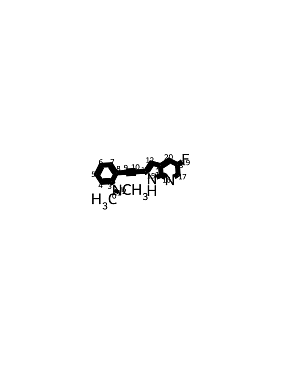 CN(C)c1ccccc1C#Cc1cc2c([nH]1)=NCC(F)C=2